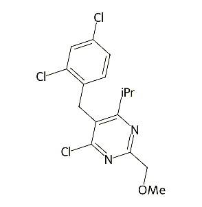 COCc1nc(Cl)c(Cc2ccc(Cl)cc2Cl)c(C(C)C)n1